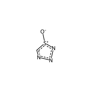 [O-][s+]1cnnn1